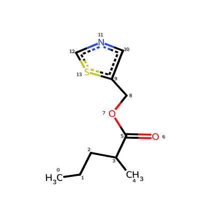 CCCC(C)C(=O)OCc1cncs1